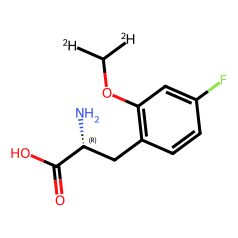 [2H]C([2H])Oc1cc(F)ccc1C[C@@H](N)C(=O)O